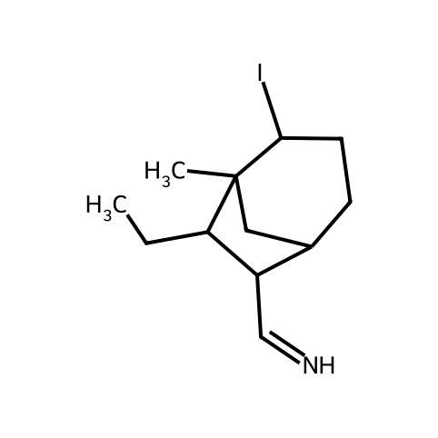 CCC1C(C=N)C2CCC(I)C1(C)C2